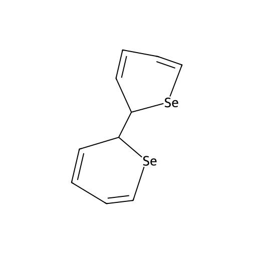 C1=C[Se]C(C2C=CC=C[Se]2)C=C1